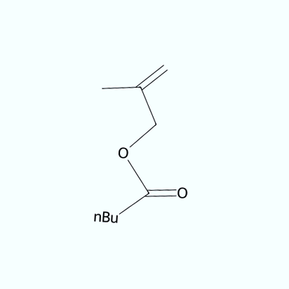 [CH2]CCCC(=O)OCC(=C)C